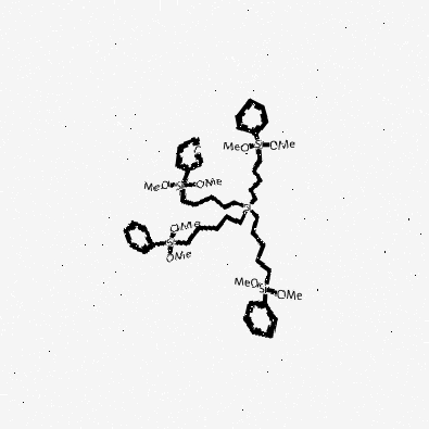 CO[Si](CCCCC[Si](CCCCC[Si](OC)(OC)c1ccccc1)(CCCCC[Si](OC)(OC)c1ccccc1)CCCCC[Si](OC)(OC)c1ccccc1)(OC)c1ccccc1